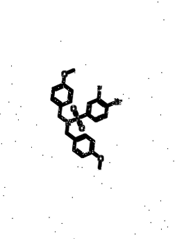 COc1ccc(CN(Cc2ccc(OC)cc2)S(=O)(=O)c2ccc(Br)c(F)c2)cc1